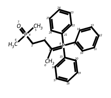 CC(CCP(C)(C)=O)=P(c1ccccc1)(c1ccccc1)c1ccccc1